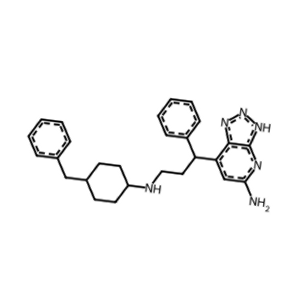 Nc1cc(C(CCNC2CCC(Cc3ccccc3)CC2)c2ccccc2)c2nn[nH]c2n1